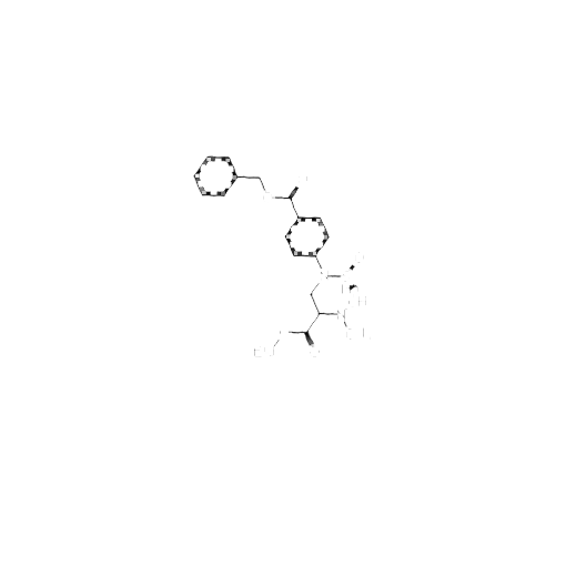 CN(C)C(CN(c1ccc(C(=O)OCc2ccccc2)cc1)[SH](=O)=O)C(=O)OC(C)(C)C